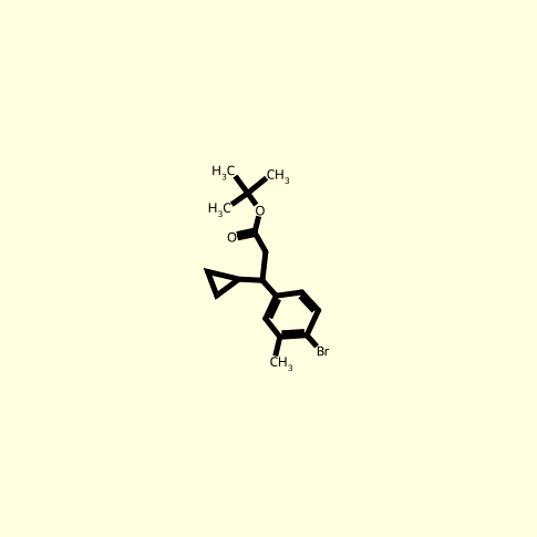 Cc1cc(C(CC(=O)OC(C)(C)C)C2CC2)ccc1Br